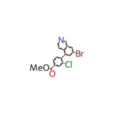 COC(=O)c1ccc(-c2cc(Br)cc3cnccc23)c(Cl)c1